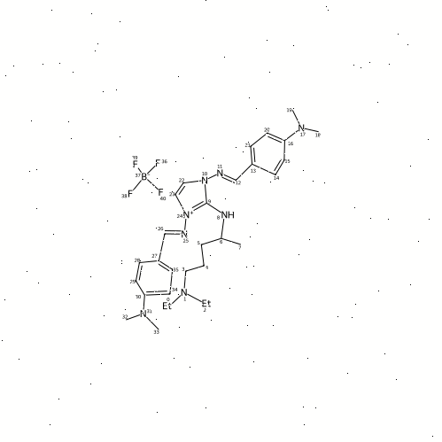 CCN(CC)CCCC(C)Nc1n(N=Cc2ccc(N(C)C)cc2)cc[n+]1N=Cc1ccc(N(C)C)cc1.F[B-](F)(F)F